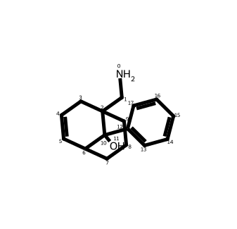 NCC12CC=CC(CCC1)C2(O)c1ccccc1